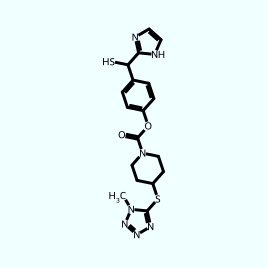 Cn1nnnc1SC1CCN(C(=O)Oc2ccc(C(S)c3ncc[nH]3)cc2)CC1